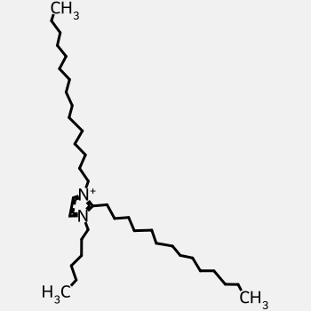 CCCCCCCCCCCCCCC[n+]1ccn(CCCCCC)c1CCCCCCCCCCCCCC